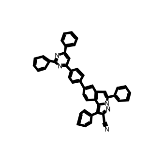 N#Cc1nn2c(-c3ccccc3)cc3cc(-c4ccc(-c5cc(-c6ccccc6)nc(-c6ccccc6)n5)cc4)ccc3c2c1-c1ccccc1